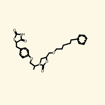 CC(COc1ccc(CC2SC(=O)NC2=O)cc1)N1CC(COCCCCCc2ccccc2)OC1=O